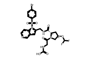 O=C(O)NCC(=O)N1C[C@H](OC(F)F)C[C@H]1C(=O)NCc1cc2cnccc2n1S(=O)(=O)c1ccc(Br)cc1